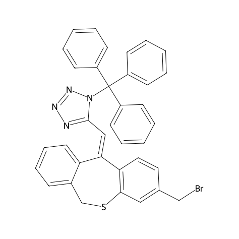 BrCc1ccc2c(c1)SCc1ccccc1C2=Cc1nnnn1C(c1ccccc1)(c1ccccc1)c1ccccc1